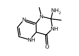 CN1C2=NC=CNC2C(=O)NC1(C)N